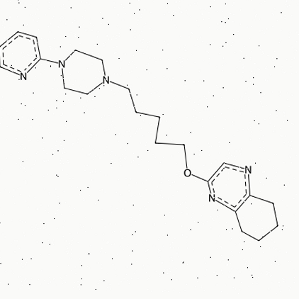 c1ccc(N2CCN(CCCCCOc3cnc4c(n3)CCCC4)CC2)nc1